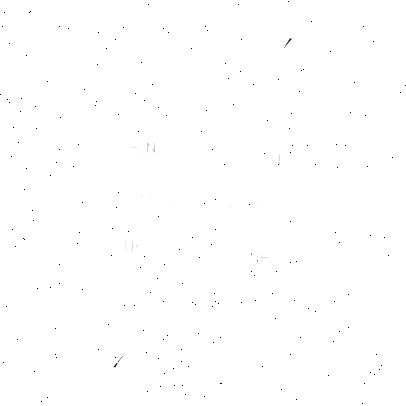 CCC[C@H]1CC[C@H](c2cc(N)c3c(c2O)C(=O)c2c(N)cc([C@H]4CC[C@H](CCC)CC4)c(O)c2C3=O)CC1